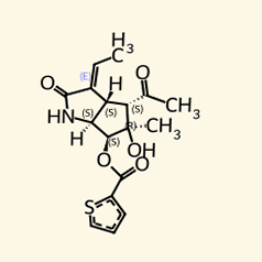 C/C=C1/C(=O)N[C@H]2[C@H]1[C@H](C(C)=O)[C@@](C)(O)[C@H]2OC(=O)c1cccs1